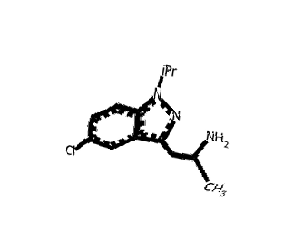 CC(N)Cc1nn(C(C)C)c2ccc(Cl)cc12